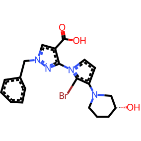 O=C(O)c1cn(Cc2ccccc2)nc1-n1ccc(N2CCC[C@@H](O)C2)c1Br